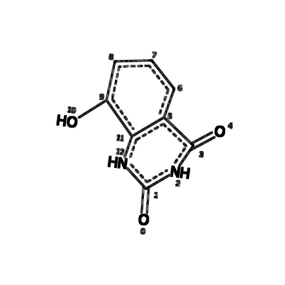 O=c1[nH]c(=O)c2cccc(O)c2[nH]1